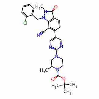 CC1CN(c2ncc(-c3ccc4c(=O)n(C)n(Cc5ccccc5Cl)c4c3C#N)cn2)CCN1C(=O)OC(C)(C)C